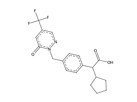 O=C(O)C(c1ccc(Cn2ncc(C(F)(F)F)cc2=O)cc1)C1CCCC1